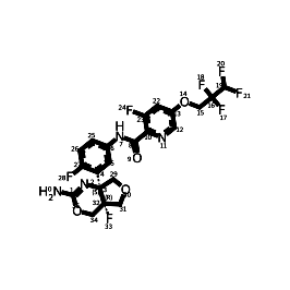 NC1=N[C@@]2(c3cc(NC(=O)c4ncc(OCC(F)(F)C(F)F)cc4F)ccc3F)COC[C@@]2(F)CO1